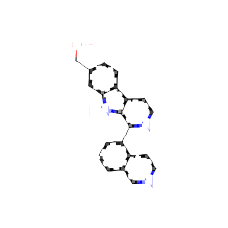 OCc1ccc2c(c1)[nH]c1c(-c3cccc4cnccc34)nccc12